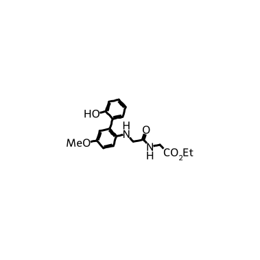 CCOC(=O)CNC(=O)CNc1ccc(OC)cc1-c1ccccc1O